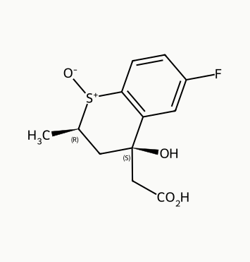 C[C@@H]1C[C@@](O)(CC(=O)O)c2cc(F)ccc2[S+]1[O-]